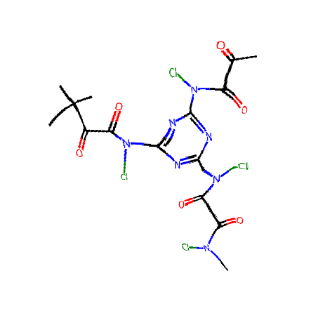 CC(=O)C(=O)N(Cl)c1nc(N(Cl)C(=O)C(=O)N(C)Cl)nc(N(Cl)C(=O)C(=O)C(C)(C)C)n1